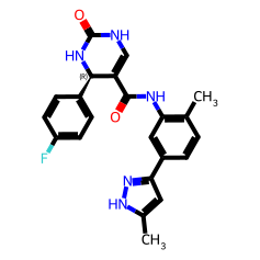 Cc1cc(-c2ccc(C)c(NC(=O)C3=CNC(=O)N[C@@H]3c3ccc(F)cc3)c2)n[nH]1